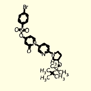 CC(C)(C)[Si](C)(C)O[C@@H]1CCN(c2ccc(-n3ccc(OS(=O)(=O)c4ccc(Br)cc4)cc3=O)cn2)C1